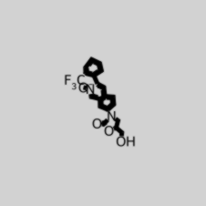 O=C1OC(CO)CN1c1ccc2cc(-c3ccccc3C(F)(F)F)[n+]([O-])cc2c1